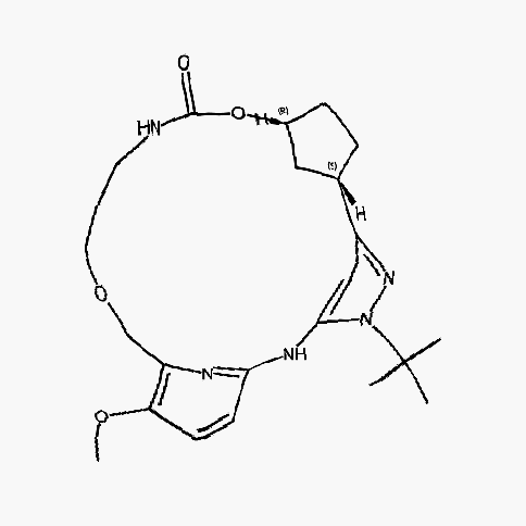 COc1ccc2nc1COCCCNC(=O)O[C@@H]1CC[C@@H](C1)c1cc(n(C(C)(C)C)n1)N2